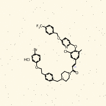 Cc1cc(/C=C/C(=O)N2CCN(Cc3ccc(CCOc4ccc(Br)cc4)cc3)CC2)cc(Cl)c1Oc1ccc(OCc2ccc(C(F)(F)F)cc2)cn1.Cl